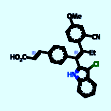 CC/C(=C(/c1ccc(/C=C/C(=O)O)cc1)c1[nH]c2ccccc2c1Cl)c1ccc(OC)cc1C#N